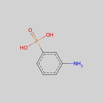 Nc1cccc(P(=O)(O)O)c1